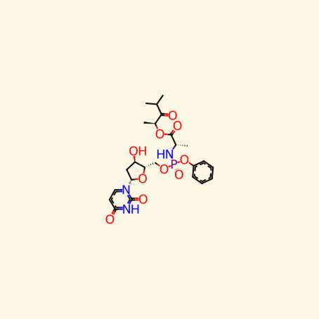 CC(C)C(=O)[C@H](C)OC(=O)[C@H](C)N[P@](=O)(OC[C@@H]1O[C@H](n2ccc(=O)[nH]c2=O)C[C@H]1O)Oc1ccccc1